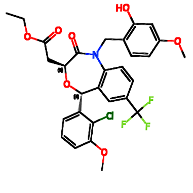 CCOC(=O)C[C@@H]1O[C@@H](c2cccc(OC)c2Cl)c2cc(C(F)(F)F)ccc2N(Cc2ccc(OC)cc2O)C1=O